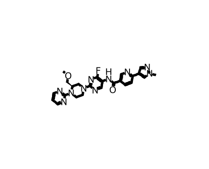 COC[C@H]1CN(c2ncc(NC(=O)c3ccc(-c4cnn(C)c4)nc3)c(F)n2)CCN1c1ncccn1